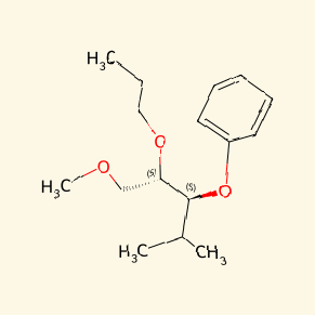 CCCO[C@@H](COC)[C@@H](Oc1ccccc1)C(C)C